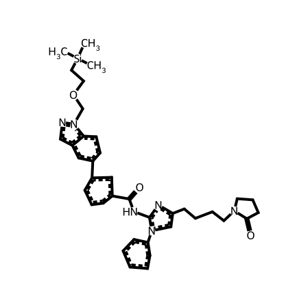 C[Si](C)(C)CCOCn1ncc2cc(-c3cccc(C(=O)Nc4nc(CCCCN5CCCC5=O)cn4-c4ccccc4)c3)ccc21